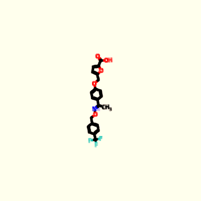 C/C(=N\OCc1ccc(C(F)(F)F)cc1)c1ccc(OCc2ccc(C(=O)O)o2)cc1